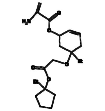 C=C(N)C(=O)OC1C=CCC(CC)(OCC(=O)OC2(CC)CCCC2)C1